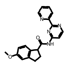 COc1ccc2c(c1)CCC2C(=O)Nc1ccnc(-c2ccccn2)n1